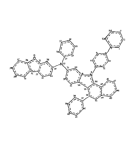 c1ccc(-c2ccc(-n3c4cc(N(c5ccccc5)c5ccc6c(c5)oc5ccccc56)ccc4c4c(-c5ccccc5)cc5ccccc5c43)cc2)cc1